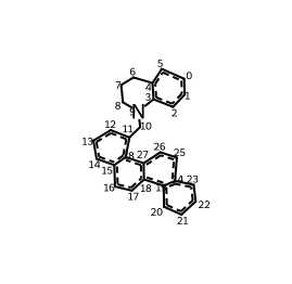 c1ccc2c(c1)CCCN2Cc1cccc2ccc3c4ccccc4ccc3c12